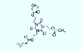 C=CC(=O)OCCn1c(=O)n(CCOC(C)=O)c(=O)n(CCOC(=O)C=C)c1=O